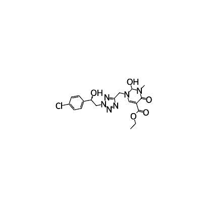 CCOC(=O)C1=CN(Cc2nnn(C[C@H](O)c3ccc(Cl)cc3)n2)C(O)N(C)C1=O